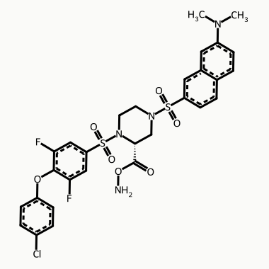 CN(C)c1ccc2ccc(S(=O)(=O)N3CCN(S(=O)(=O)c4cc(F)c(Oc5ccc(Cl)cc5)c(F)c4)[C@@H](C(=O)ON)C3)cc2c1